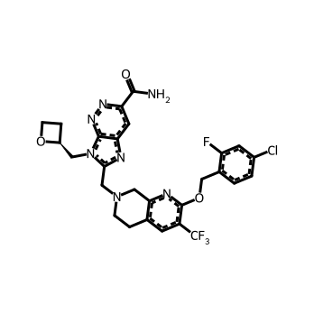 NC(=O)c1cc2nc(CN3CCc4cc(C(F)(F)F)c(OCc5ccc(Cl)cc5F)nc4C3)n(C[C@@H]3CCO3)c2nn1